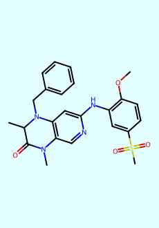 COc1ccc(S(C)(=O)=O)cc1Nc1cc2c(cn1)N(C)C(=O)C(C)N2Cc1ccccc1